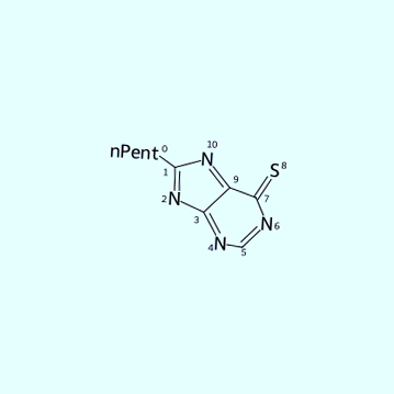 CCCCCC1=NC2=NC=NC(=S)C2=N1